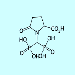 O=C(O)C1CCC(=O)N1C(P(=O)(O)O)P(=O)(O)O